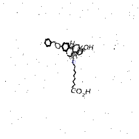 C[C@]12CC[C@@H]3c4ccc(OCc5ccccc5)cc4C[C@@H](/C=C/CCCCCCCCC(=O)O)[C@H]3[C@@H]1CC[C@@H]2O